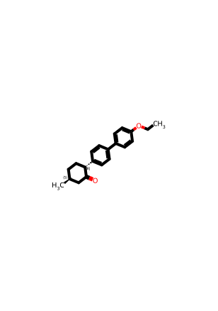 CCOc1ccc(-c2ccc([C@H]3CC[C@H](C)CC3=O)cc2)cc1